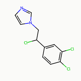 Clc1ccc(C(Cl)Cn2ccnc2)cc1Cl